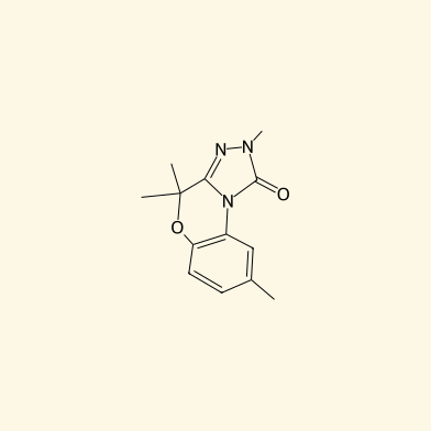 Cc1ccc2c(c1)-n1c(nn(C)c1=O)C(C)(C)O2